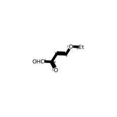 CCO/C=C/C(=O)C=O